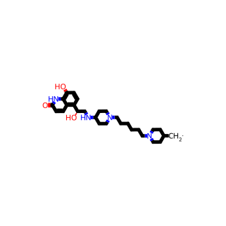 [CH2]C1CCN(CCCCCCN2CCC(NC[C@H](O)c3ccc(O)c4[nH]c(=O)ccc34)CC2)CC1